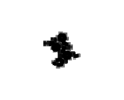 CCOc1cc(OC2CCN(C)CC2)c(F)c(C(Nc2ccc(C(=N)N)cc2)C2=NC(c3ccccc3)CN2)c1